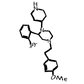 COc1ccc(CCN2CCN(C3CCNCC3)C(c3ccccc3C(C)C)C2)cc1